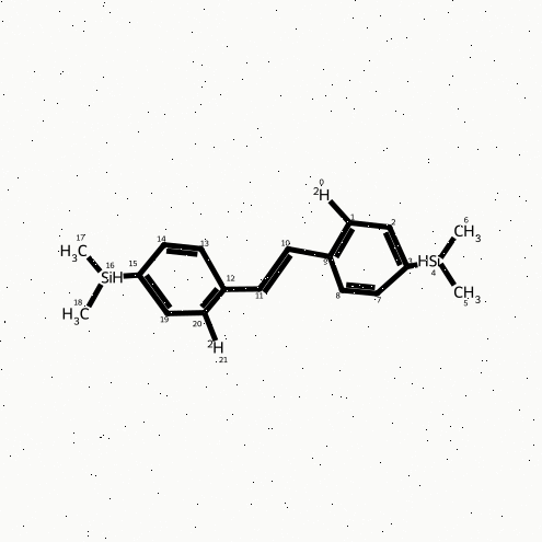 [2H]c1cc([SiH](C)C)ccc1C=Cc1ccc([SiH](C)C)cc1[2H]